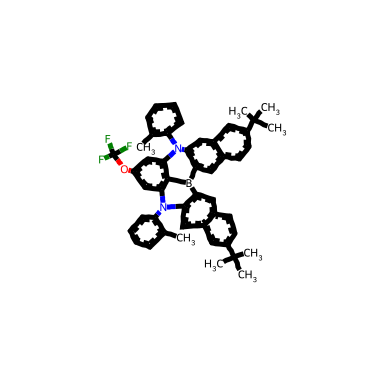 Cc1ccccc1N1c2cc3cc(C(C)(C)C)ccc3cc2B2c3cc4ccc(C(C)(C)C)cc4cc3N(c3ccccc3C)c3cc(OC(F)(F)F)cc1c32